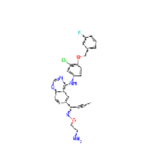 CC#C/C(=N\OCCN)c1ccc2ncnc(Nc3ccc(OCc4cccc(F)c4)c(Cl)c3)c2c1